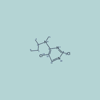 CCC(C)N(C)c1nc(Cl)ncc1Cl